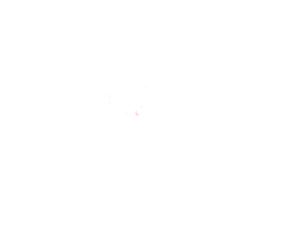 CC12CCC(C(=O)OCC(=O)O)(OC1O)C2(C)C